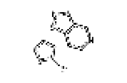 Brc1cccs1.c1cc2sncc2cn1